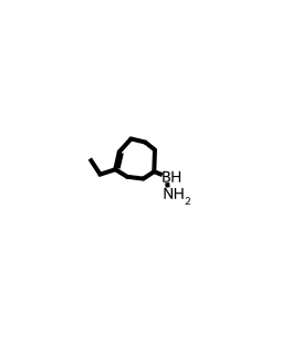 CC/C1=C/CCCC(BN)CC1